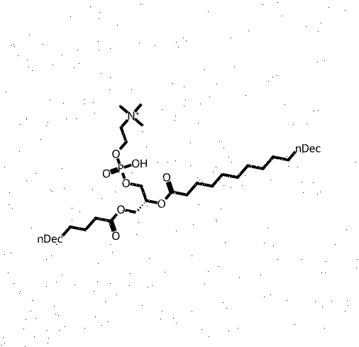 CCCCCCCCCCCCCCCCCCCC(=O)O[C@H](COC(=O)CCCCCCCCCCCCC)COP(=O)(O)OCC[N+](C)(C)C